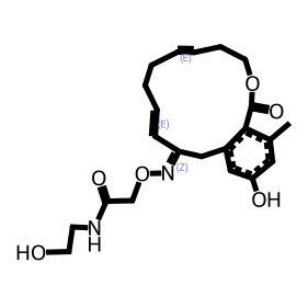 Cc1cc(O)cc2c1C(=O)OCC/C=C/CC/C=C/C(=N\OCC(=O)NCCO)C2